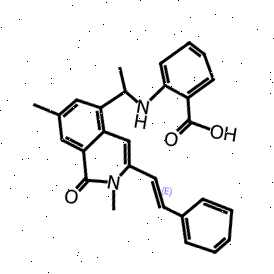 Cc1cc(C(C)Nc2ccccc2C(=O)O)c2cc(/C=C/c3ccccc3)n(C)c(=O)c2c1